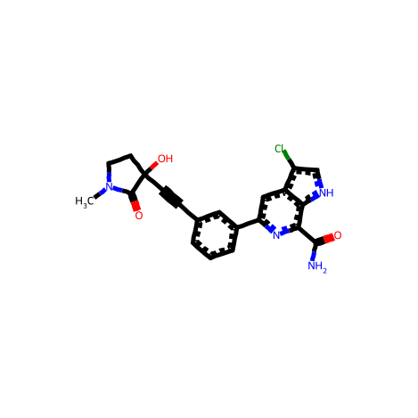 CN1CCC(O)(C#Cc2cccc(-c3cc4c(Cl)c[nH]c4c(C(N)=O)n3)c2)C1=O